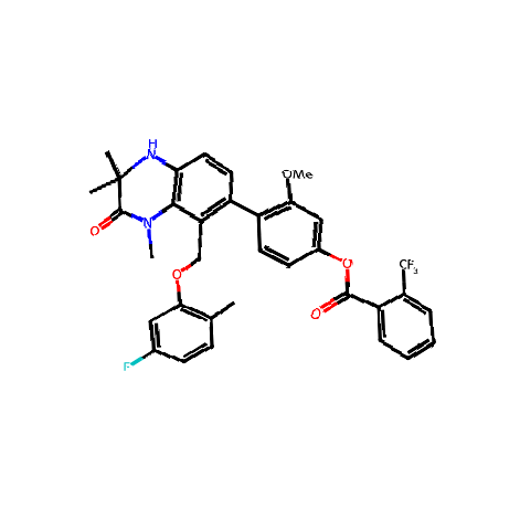 COc1cc(OC(=O)c2ccccc2C(F)(F)F)ccc1-c1ccc2c(c1COc1cc(F)ccc1C)N(C)C(=O)C(C)(C)N2